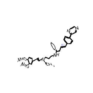 COc1ccc(CCN(C)CCCNC(=O)C/C=C/c2ccc(-c3cnccn3)cc2)cc1OC